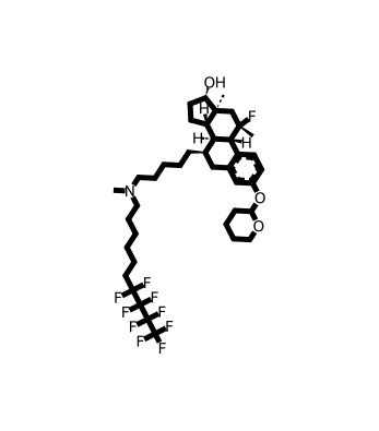 CN(CCCCCCC(F)(F)C(F)(F)C(F)(F)C(F)(F)F)CCCCC[C@@H]1Cc2cc(OC3CCCCO3)ccc2[C@@H]2[C@@H]1[C@@H]1CC[C@H](O)[C@@]1(C)C[C@]2(C)F